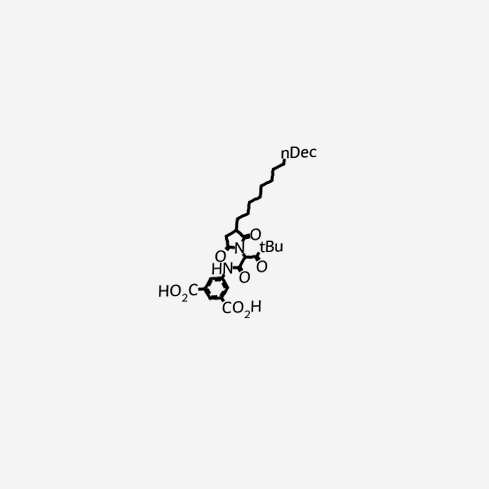 CCCCCCCCCCCCCCCCCCC1CC(=O)N(C(C(=O)Nc2cc(C(=O)O)cc(C(=O)O)c2)C(=O)C(C)(C)C)C1=O